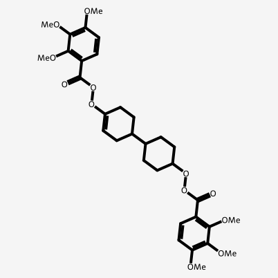 COc1ccc(C(=O)OOC2=CCC(C3CCC(OOC(=O)c4ccc(OC)c(OC)c4OC)CC3)CC2)c(OC)c1OC